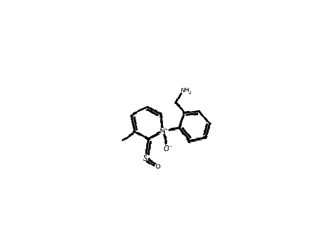 CC1=CC=C[N+]([O-])(c2ccccc2CN)C1=S=O